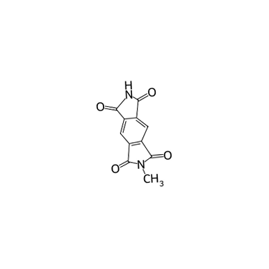 Cn1c(=O)c2cc3c(=O)[nH]c(=O)c3cc2c1=O